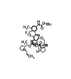 C=CCN1CCC[C@H]1[C@H](C)Oc1nc2c3c(nc(-c4cc(NC(=O)OC(C)(C)C)cc(C)c4C(F)(F)F)c(F)c3n1)OCC[C@@H]1[C@@H]3CC[C@H](CN21)N3C(=O)OC(C)(C)C